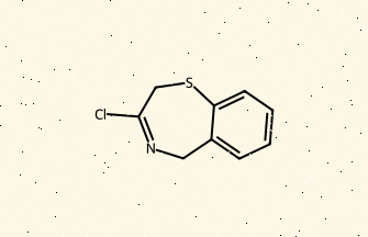 ClC1=NCc2ccccc2SC1